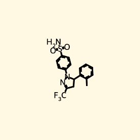 Cc1ccccc1C1CC(C(F)(F)F)=NN1c1ccc(S(N)(=O)=O)cc1